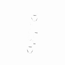 C=CC1CN(C(=O)c2ccccc2)CCC1CCOS(=O)(=O)c1ccc(C)cc1